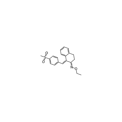 CCO/N=C1\CCc2ccccc2\C1=C/c1ccc(S(C)(=O)=O)cc1